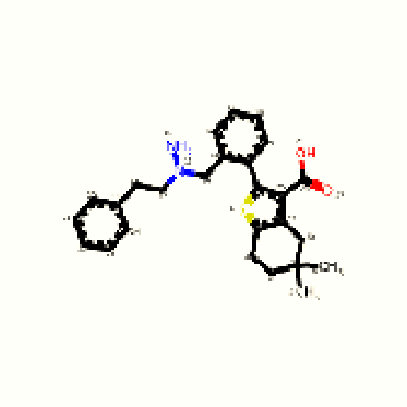 CC1(C)CCc2sc(-c3ccccc3CN(N)CCc3ccccc3)c(C(=O)O)c2C1